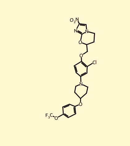 O=[N+]([O-])c1cn2c(n1)OC(COc1ccc(N3CCC(Oc4ccc(OC(F)(F)F)cc4)CC3)cc1Cl)CC2